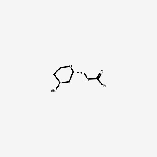 CCCCN1CCO[C@H](CNC(=O)C(C)C)C1